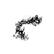 Cc1nc2c(F)cc(-c3nc(Nc4ccc(N5CCN(Cc6cc7c(cc6F)C(=O)N(C6CCC(=O)NC6=O)C7)CC5)cn4)ncc3F)cc2n1C(C)C